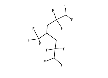 FC(F)C(F)(F)C[C](CC(F)(F)C(F)F)C(F)(F)F